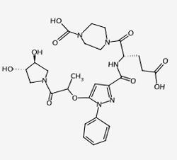 CC(Oc1cc(C(=O)N[C@@H](CCC(=O)O)C(=O)N2CCN(C(=O)O)CC2)nn1-c1ccccc1)C(=O)N1C[C@H](O)[C@@H](O)C1